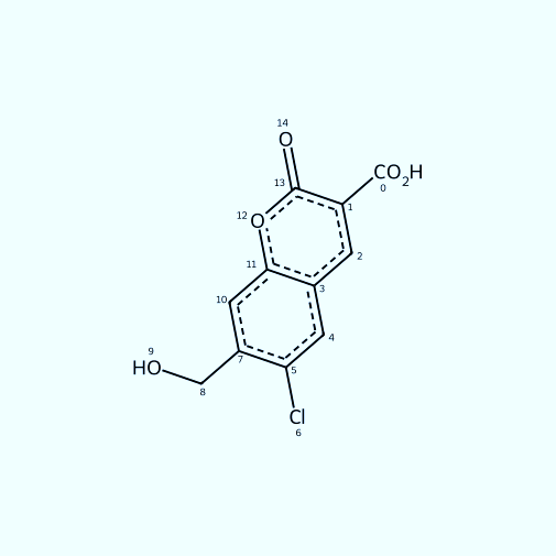 O=C(O)c1cc2cc(Cl)c(CO)cc2oc1=O